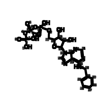 O=P(O)(O)OP(=O)(O)OP(=O)(O)OCC1OC(n2cnc3c(NCc4ccccc4)ncnc32)C(O)C1O